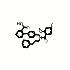 COc1cc(Cl)ccc1C(=O)N(CCCc1ccccc1)Cc1ccc(-c2ccccc2C(=O)O)cc1